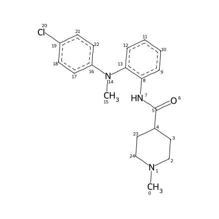 CN1CCC(C(=O)Nc2ccccc2N(C)c2ccc(Cl)cc2)CC1